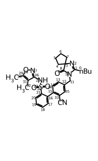 CCCCC1=NC2(CCCC2)C(=O)N1Cc1ccc(-c2ccccc2S(=O)(=O)Nc2noc(C)c2C)c(C#N)c1